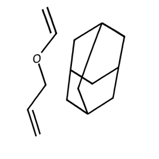 C1C2CC3CC1CC(C2)C3.C=CCOC=C